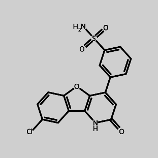 NS(=O)(=O)c1cccc(-c2cc(=O)[nH]c3c2oc2ccc(Cl)cc23)c1